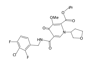 COc1c(C(=O)OC(C)C)n(C2CCOC2)cc(C(=O)NCc2ccc(F)c(Cl)c2F)c1=O